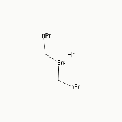 CCC[CH2][Sn][CH2]CCC.[H-]